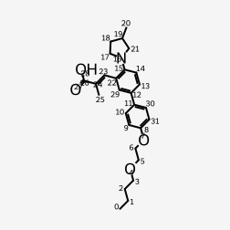 CCCCOCCOc1ccc(-c2ccc(N3CCC(C)C3)c(/C=C(\C)C(=O)O)c2)cc1